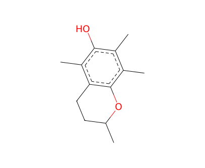 Cc1c(C)c2c(c(C)c1O)CCC(C)O2